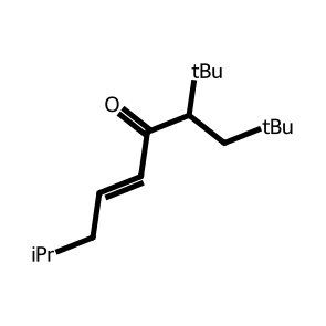 CC(C)C/C=C/C(=O)C(CC(C)(C)C)C(C)(C)C